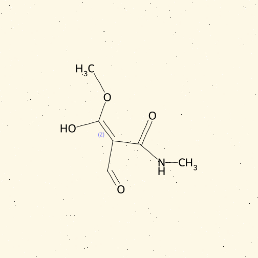 CNC(=O)/C(C=O)=C(/O)OC